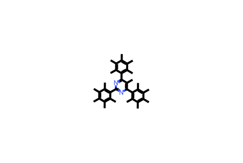 Cc1c(-c2c(C)c(C)c(C)c(C)c2C)nc(-c2c(C)c(C)c(C)c(C)c2C)nc1-c1c(C)c(C)c(C)c(C)c1C